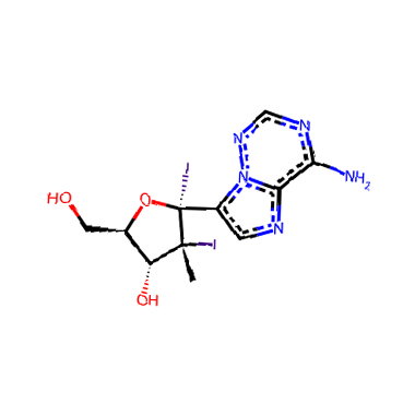 C[C@@]1(I)[C@H](O)[C@@H](CO)O[C@@]1(I)c1cnc2c(N)ncnn12